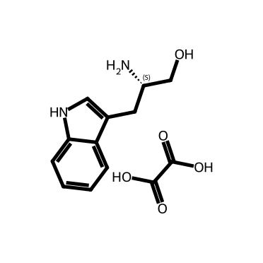 N[C@H](CO)Cc1c[nH]c2ccccc12.O=C(O)C(=O)O